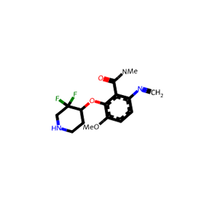 C=Nc1ccc(OC)c(OC2CCNCC2(F)F)c1C(=O)NC